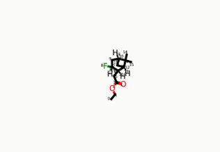 CCOC(=O)C[C@@H]1[C@H](F)C[C@H]2C[C@@H]1C2(C)C